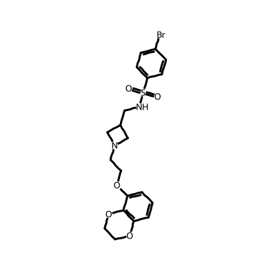 O=S(=O)(NCC1CN(CCOc2cccc3c2OCCO3)C1)c1ccc(Br)cc1